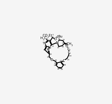 CCOC(=O)[C@@H](OC(C)(C)C)c1c(C)nc2cc3nn2c1N1CCC(C)(CC1)OCCCCCc1ccccc1COC3